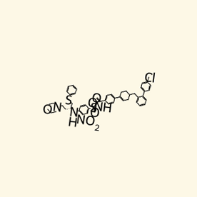 O=C(NS(=O)(=O)c1ccc(N[C@H](CCN2CCOCC2)CSc2ccccc2)c([N+](=O)[O-])c1)c1ccc(C2=CCC(Cc3ccccc3-c3ccc(Cl)cc3)CC2)cc1